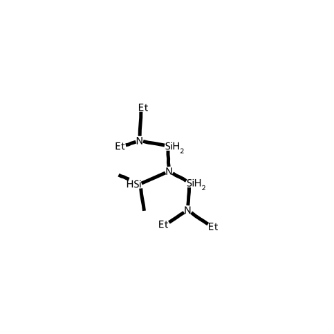 CCN(CC)[SiH2]N([SiH2]N(CC)CC)[SiH](C)C